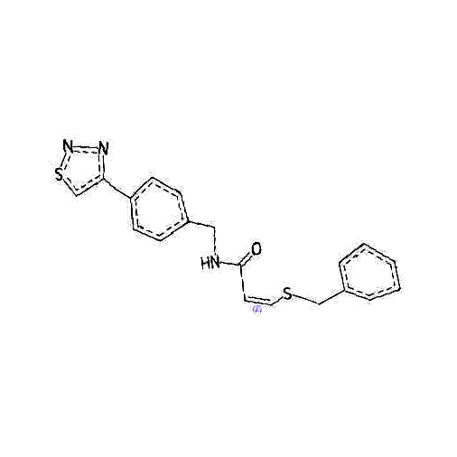 O=C(/C=C\SCc1ccccc1)NCc1ccc(-c2csnn2)cc1